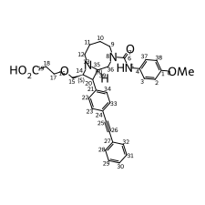 COc1ccc(NC(=O)N2CCCCN3[C@H](COCCC(=O)O)C(c4ccc(C#Cc5ccccc5)cc4)[C@@H]3C2)cc1